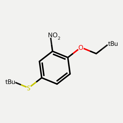 CC(C)(C)COc1ccc(SC(C)(C)C)cc1[N+](=O)[O-]